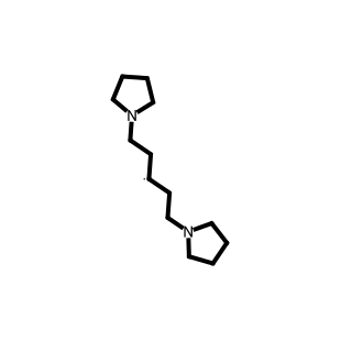 [CH](CCN1CCCC1)CCN1CCCC1